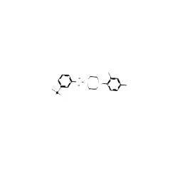 Cc1cc(F)ccc1N1CCN(S(=O)(=O)c2cccc(C(C)(O)C(F)(F)F)c2)[C@H](C)C1